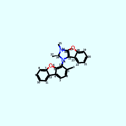 Cc1ccc2c(oc3ccccc32)c1N1c2c(oc3ccccc23)N(C)[C@@H]1C